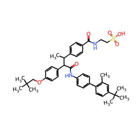 Cc1cc(C(C)(C)C)ccc1-c1ccc(NC(=O)C(c2ccc(OCC(C)(C)C)cc2)C(C)c2ccc(C(=O)NCCS(=O)(=O)O)cc2)cc1